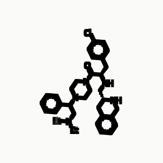 CCN(CC)CC(c1ccccc1)N1CCN(C(=O)[C@@H](Cc2ccc(Cl)cc2)NC[C@H]2Cc3ccccc3CN2)CC1